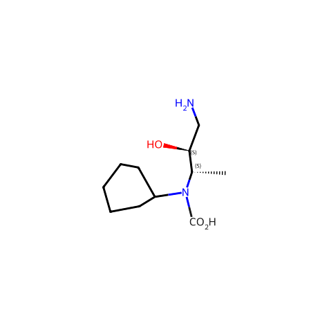 C[C@@H]([C@@H](O)CN)N(C(=O)O)C1CCCCC1